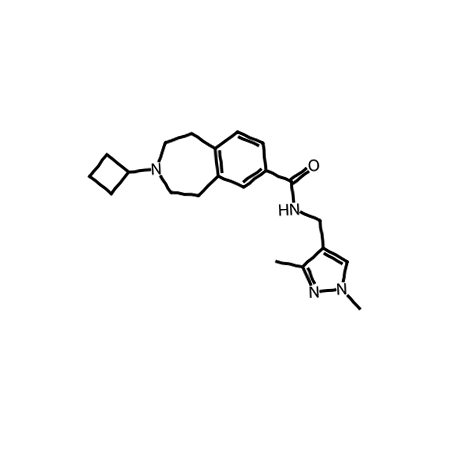 Cc1nn(C)cc1CNC(=O)c1ccc2c(c1)CCN(C1CCC1)CC2